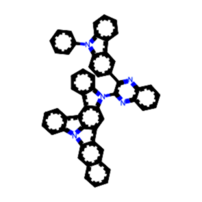 c1ccc(-n2c3ccccc3c3cc(-c4nc5ccccc5nc4-n4c5ccccc5c5c6c7ccccc7n7c8cc9ccccc9cc8c(cc54)c67)ccc32)cc1